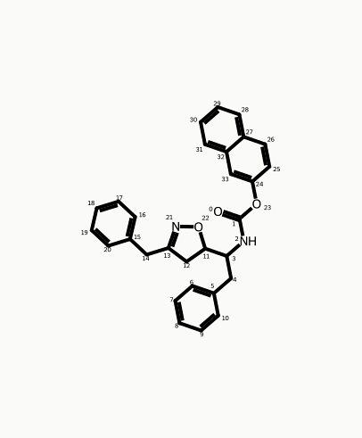 O=C(NC(Cc1ccccc1)C1CC(Cc2ccccc2)=NO1)Oc1ccc2ccccc2c1